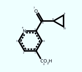 O=C(O)c1ccnc(C(=O)C2CC2)c1